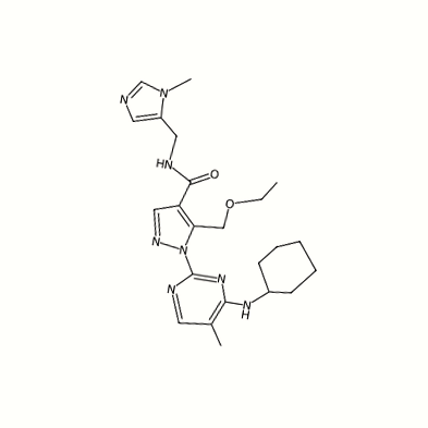 CCOCc1c(C(=O)NCc2cncn2C)cnn1-c1ncc(C)c(NC2CCCCC2)n1